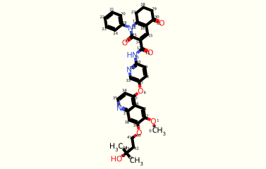 COc1cc2c(Oc3ccc(NC(=O)c4cc5c(n(-c6ccccc6)c4=O)CCCC5=O)nc3)ccnc2cc1OCCC(C)(C)O